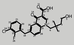 CC(C)(CCO)Cn1cc(C(=O)O)c(=O)c2cc(Cc3cccc(Cl)c3F)ccc21